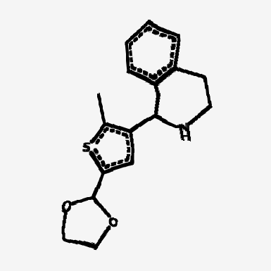 Cc1sc(C2OCCO2)cc1C1NCCc2ccccc21